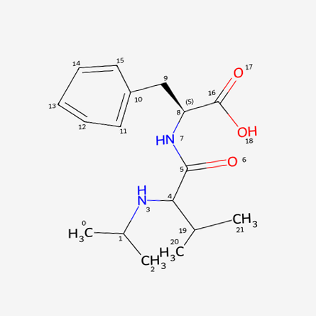 CC(C)NC(C(=O)N[C@@H](Cc1ccccc1)C(=O)O)C(C)C